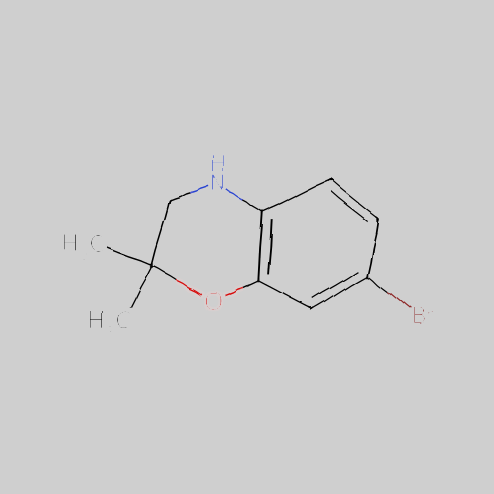 CC1(C)CNc2ccc(Br)cc2O1